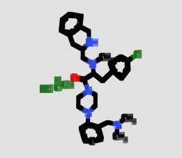 CN(C)Cc1ccccc1N1CCN(C(=O)C(Cc2ccc(Cl)cc2)N(C)CC2Cc3ccccc3CN2)CC1.Cl.Cl.Cl